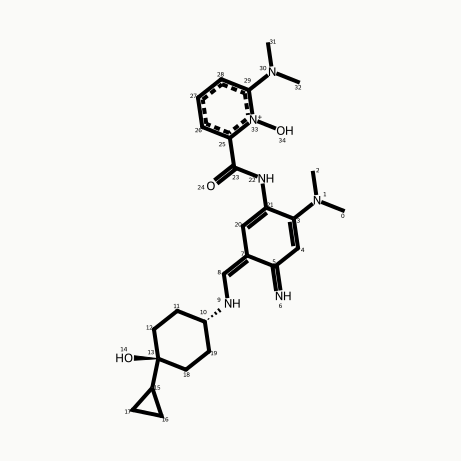 CN(C)C1=CC(=N)/C(=C\N[C@H]2CC[C@@](O)(C3CC3)CC2)C=C1NC(=O)c1cccc(N(C)C)[n+]1O